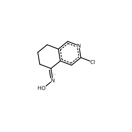 O/N=C1\CCCc2cnc(Cl)cc21